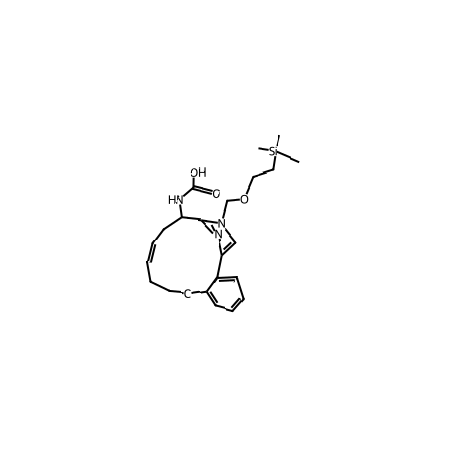 C[Si](C)(C)CCOCn1cc2nc1C(NC(=O)O)CC=CCCCc1ccccc1-2